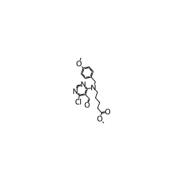 COC(=O)CCCCN(Cc1ccc(OC)cc1)c1ncnc(Cl)c1C=O